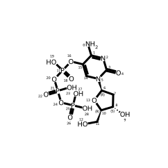 Nc1nc(=O)n([C@H]2C[C@H](O)[C@@H](CO)O2)cc1OP(=O)(O)OP(=O)(O)OP(=O)(O)O